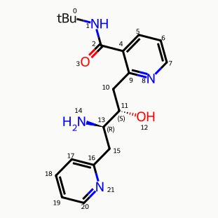 CC(C)(C)NC(=O)c1cccnc1C[C@H](O)[C@H](N)Cc1ccccn1